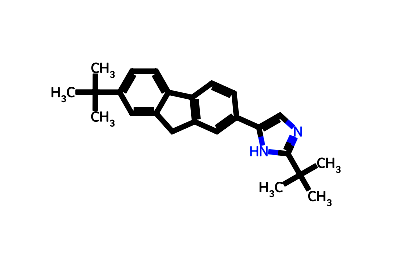 CC(C)(C)c1ccc2c(c1)Cc1cc(-c3cnc(C(C)(C)C)[nH]3)ccc1-2